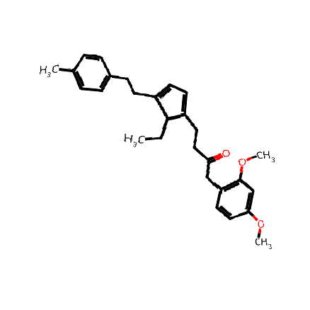 CCC1C(CCC(=O)Cc2ccc(OC)cc2OC)=CC=C1CCc1ccc(C)cc1